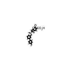 CN(Cc1cccc(-c2ccc(F)cc2)c1)c1cc2oc(=O)c(C(=O)O)cc2s1